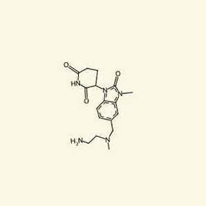 CN(CCN)Cc1ccc2c(c1)n(C)c(=O)n2C1CCC(=O)NC1=O